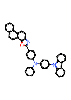 c1ccc(N(c2ccc(-c3nc4ccc5c6ccccc6ccc5c4o3)cc2)c2ccc(-n3c4ccccc4c4ccccc43)cc2)cc1